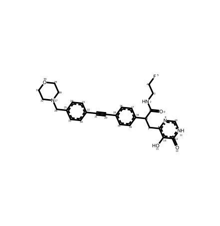 O=C(NCCF)C(Cc1nc[nH]c(=O)c1O)c1ccc(C#Cc2ccc(CN3CCOCC3)cc2)cc1